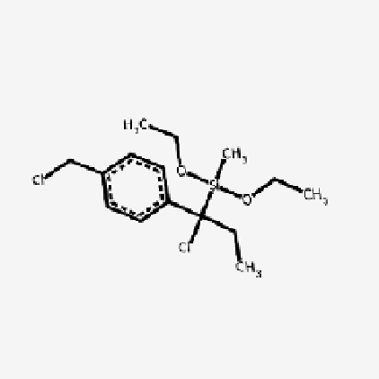 CCO[Si](C)(OCC)C(Cl)(CC)c1ccc(CCl)cc1